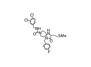 CSCCC1NC2(CCN(C(=O)NCc3ccc(Cl)c(Cl)c3)CC2)N(Cc2ccc(F)cc2)C1=O